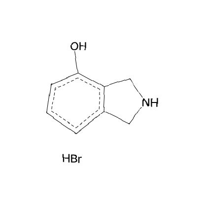 Br.Oc1cccc2c1CNC2